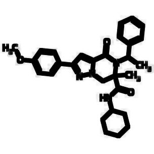 COc1ccc(-c2cc3n(n2)CC(C)(C(=O)NC2CCCCC2)N(C(C)c2ccccc2)C3=O)cc1